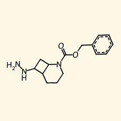 NNC1CC2C1CCCN2C(=O)OCc1ccccc1